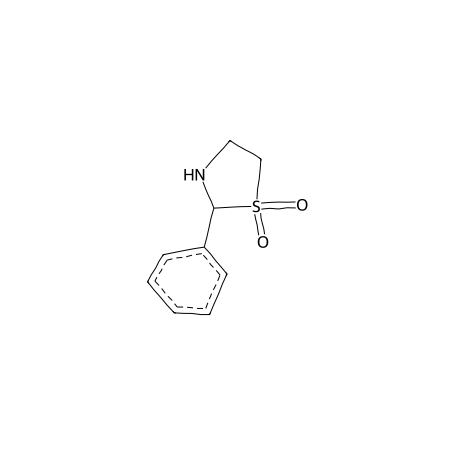 O=S1(=O)CCNC1c1ccccc1